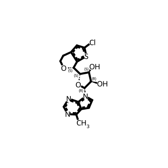 Cc1ncnc2c1ccn2[C@@H]1O[C@H]([C@@H]2OCCc3cc(Cl)sc32)[C@@H](O)[C@H]1O